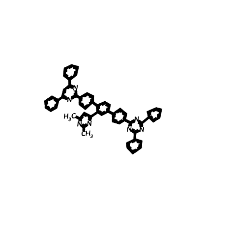 Cc1cc(-c2cc(-c3ccc(-c4nc(-c5ccccc5)nc(-c5ccccc5)n4)cc3)ccc2-c2ccc(-c3nc(-c4ccccc4)cc(-c4ccccc4)n3)cc2)nc(C)n1